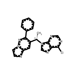 C[C@@H](c1cc2nccn2nc1-c1ccccc1)n1cnc2c(Cl)ncnc21